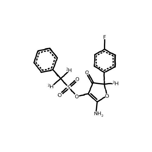 [2H]C1(c2ccc(F)cc2)OC(N)=C(OS(=O)(=O)C([2H])([2H])c2ccccc2)C1=O